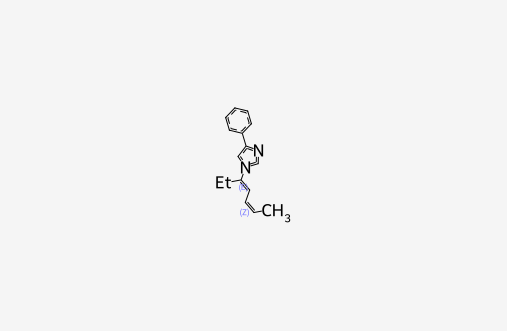 C/C=C\C=C(/CC)n1cnc(-c2ccccc2)c1